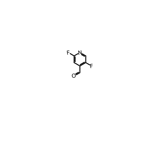 O=Cc1cc(F)ncc1F